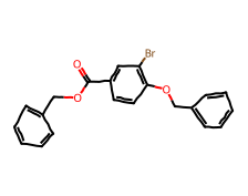 O=C(OCc1ccccc1)c1ccc(OCc2ccccc2)c(Br)c1